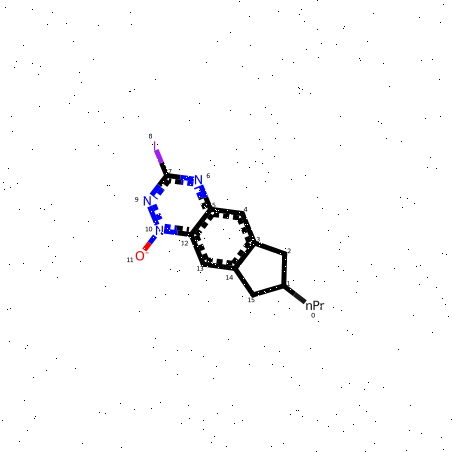 CCCC1Cc2cc3nc(I)n[n+]([O-])c3cc2C1